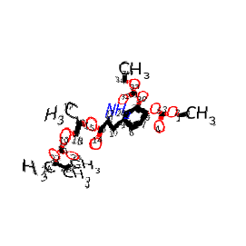 CCOC(=O)Oc1ccc(C[C@H](N)C(=O)O[C@@H](C)COC(=O)OC(C)C(C)C)cc1OC(=O)OCC